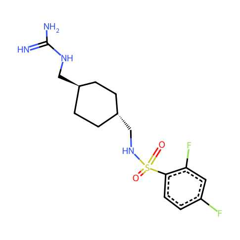 N=C(N)NC[C@H]1CC[C@H](CNS(=O)(=O)c2ccc(F)cc2F)CC1